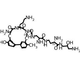 Cc1ccc2cc1C[C@@H](C(=O)NCC(N)C(=O)NCC[C@H](N)C(=O)NCC(O)CN)NC(=O)[C@H](CCCN)NC(=O)[C@@H](N)Cc1cc-2ccc1O